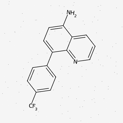 Nc1ccc(-c2ccc(C(F)(F)F)cc2)c2ncccc12